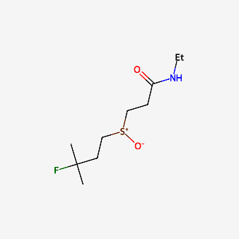 CCNC(=O)CC[S+]([O-])CCC(C)(C)F